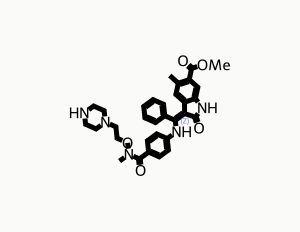 COC(=O)c1cc2c(cc1C)/C(=C(/Nc1ccc(C(=O)N(C)OCCN3CCNCC3)cc1)c1ccccc1)C(=O)N2